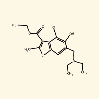 CCOC(=O)c1c(C)oc2cc(CN(CC)CC)c(O)c(Cl)c12